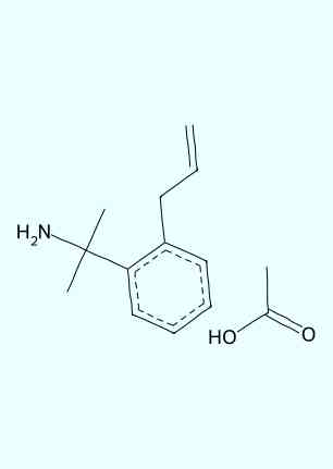 C=CCc1ccccc1C(C)(C)N.CC(=O)O